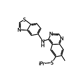 Cc1cc2ncnc(Nc3ccc4scnc4c3)c2cc1SC(C)C